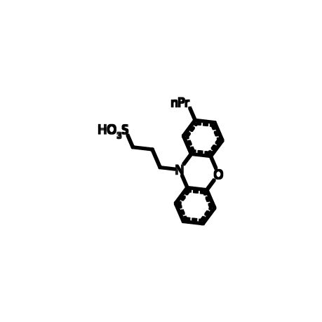 CCCc1ccc2c(c1)N(CCCS(=O)(=O)O)c1ccccc1O2